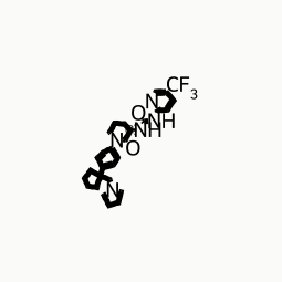 O=C(Nc1ccc(C(F)(F)F)cn1)N[C@@H]1CCCN(c2ccc(C3(CN4CCCC4)CCCC3)cc2)C1=O